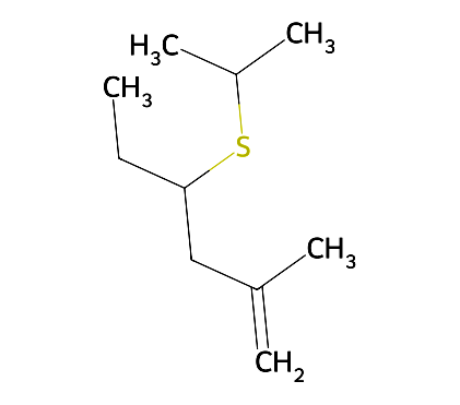 C=C(C)CC(CC)SC(C)C